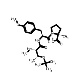 CN[C@H](C(=O)N[C@@H](Cc1ccc(OC)cc1)C(=O)N1CCC[C@@]1(C)C(=O)O)[C@@H](C)OC(C)(C)C